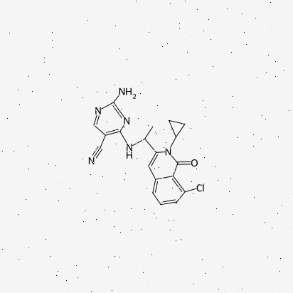 CC(Nc1nc(N)ncc1C#N)c1cc2cccc(Cl)c2c(=O)n1C1CC1